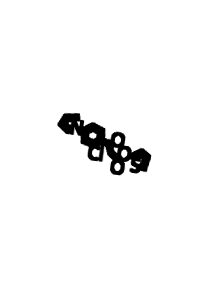 O=C(CC(=O)c1ccc(-n2cccc2)cc1Cl)Oc1cccs1